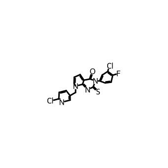 O=c1c2cccn(Cc3ccc(Cl)nc3)c-2nc(=S)n1-c1ccc(F)c(Cl)c1